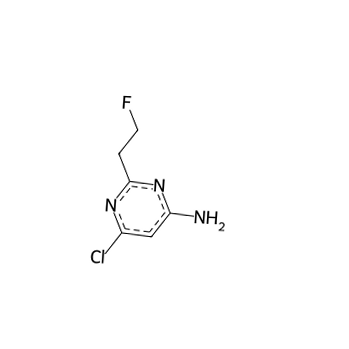 Nc1cc(Cl)nc(CCF)n1